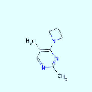 Cc1ncc(C)c(N2CCC2)n1